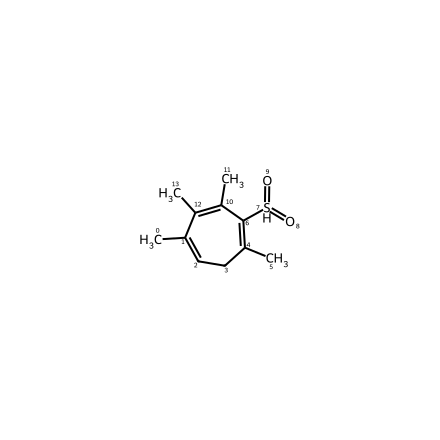 CC1=CCC(C)=C([SH](=O)=O)C(C)=C1C